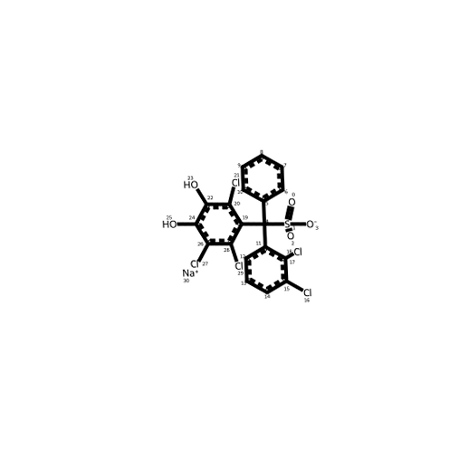 O=S(=O)([O-])C(c1ccccc1)(c1cccc(Cl)c1Cl)c1c(Cl)c(O)c(O)c(Cl)c1Cl.[Na+]